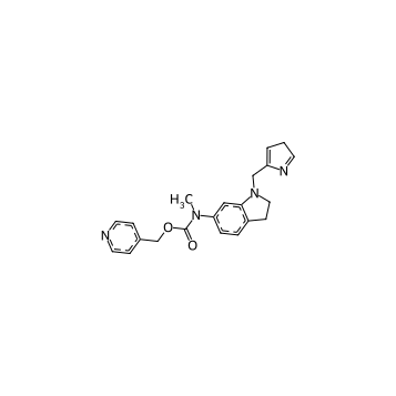 CN(C(=O)OCc1ccncc1)c1ccc2c(c1)N(CC1=CCC=N1)CC2